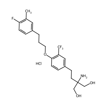 Cc1cc(CCCOc2ccc(CCC(N)(CO)CO)cc2C(F)(F)F)ccc1F.Cl